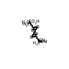 CC(C)(CO)CCCCC1=CC(=O)C=C(C=CC2=CC(=O)C=C(CCCCC(C)(C)C(=O)O)C2=O)C1=O